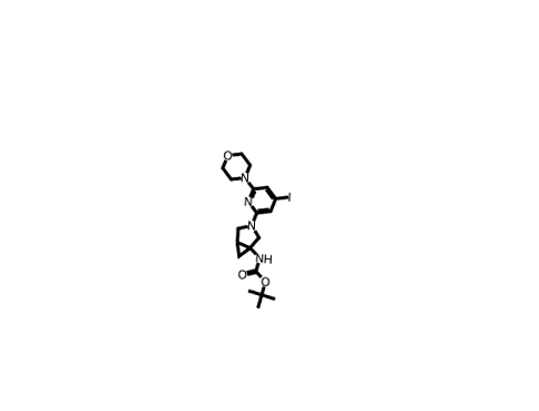 CC(C)(C)OC(=O)NC12CC1CN(c1cc(I)cc(N3CCOCC3)n1)C2